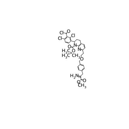 COC(=O)[C@@H](N)Cc1ccc(COCCc2ccc3c(n2)N(C(=O)OC(C)(C)C)C(c2ccc(Cl)c(C(=O)Cl)c2Cl)CC3)cc1